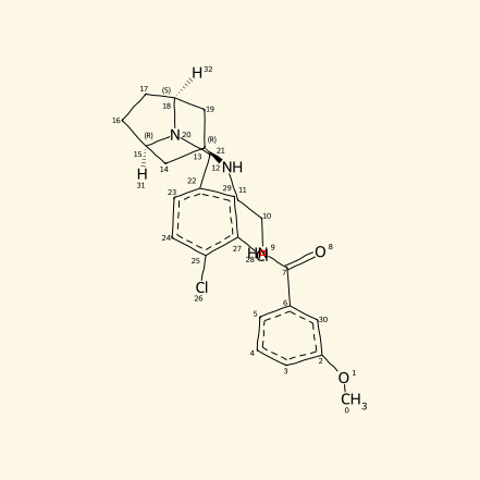 COc1cccc(C(=O)NCCN[C@H]2C[C@H]3CC[C@@H](C2)N3Cc2ccc(Cl)c(Cl)c2)c1